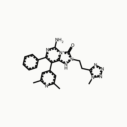 Cc1cc(-c2c(-c3ccccc3)nc(N)[n+]3c(=O)n(CCc4nnnn4C)[nH]c23)cc(C)n1